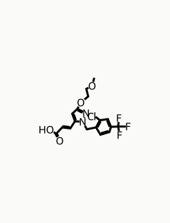 COCCOc1cc(C=CC(=O)O)n(Cc2ccc(C(F)(F)F)cc2Cl)n1